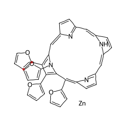 C1=Cc2cc3c(-c4ccco4)c(-c4ccco4)c(c(-c4ccco4)c4nc(cc5ccc(cc1n2)[nH]5)C=C4)n3-c1ccco1.[Zn]